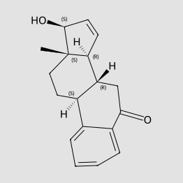 C[C@]12CC[C@@H]3c4ccccc4C(=O)C[C@H]3[C@@H]1C=C[C@@H]2O